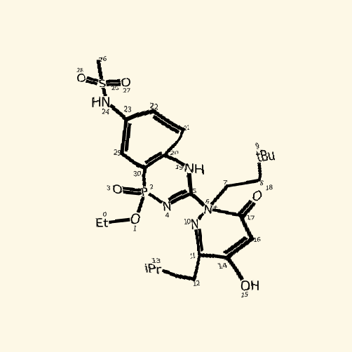 CCOP1(=O)N=C([N+]2(CCC(C)(C)C)N=C(CC(C)C)C(O)=CC2=O)Nc2ccc(NS(C)(=O)=O)cc21